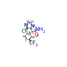 NC(=O)C(c1cccc(C(F)(F)F)c1)c1nccnc1Cl